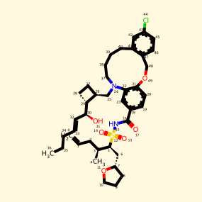 C=CC[C@H](C)[C@H](C[C@@H]1CCCO1)S(=O)(=O)NC(=O)c1ccc2c(c1)N(C[C@@H]1CC[C@H]1[C@@H](O)/C=C/CCC)CCCCc1cc(Cl)ccc1CO2